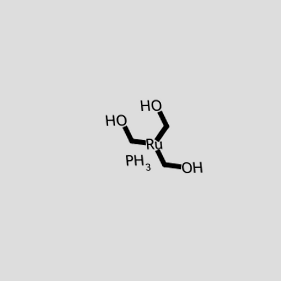 O[CH2][Ru]([CH2]O)[CH2]O.P